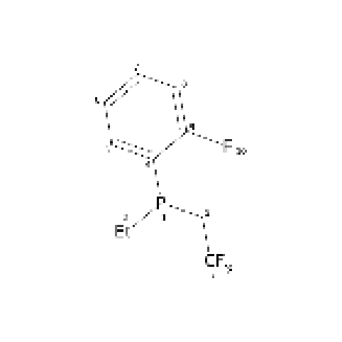 CCP(CC(F)(F)F)c1ccccc1F